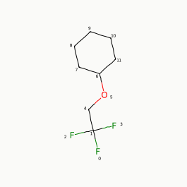 FC(F)(F)COC1CCCCC1